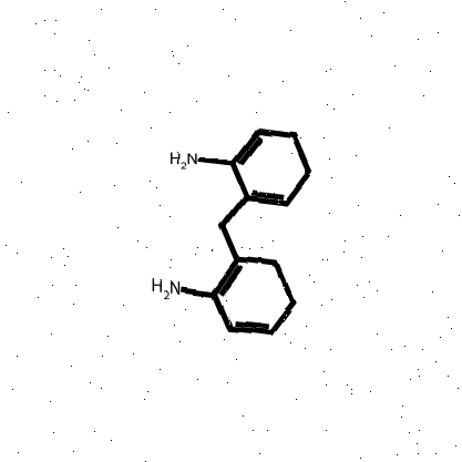 NC1=CCCC=C1CC1=C(N)C=CCC1